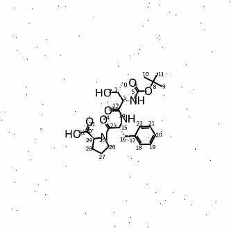 C[C@@H](O)[C@H](NC(=O)OC(C)(C)C)C(=O)N[C@H](Cc1ccccc1)C(=O)N1CCC[C@H]1C(=O)O